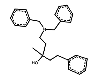 CC(O)(CCc1ccccc1)CCN(Cc1ccccc1)Cc1ccccc1